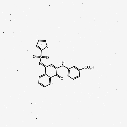 O=C(O)c1cccc(NC2=C/C(=N\S(=O)(=O)c3cccs3)c3ccccc3C2=O)c1